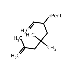 C=CC(CCCCC)CC(C)(C)CC(=C)C